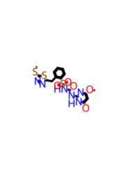 COc1cc(OC)nc(NC(=O)NS(=O)(=O)c2ccccc2Cc2nnc(SC)s2)n1